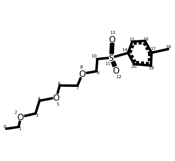 CCOCCOCCOCCS(=O)(=O)c1ccc(C)cc1